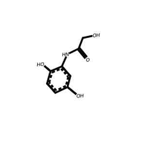 O=C(CO)Nc1cc(O)ccc1O